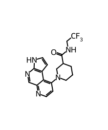 O=C(NCC(F)(F)F)C1CCCN(c2ccnc3cnc4[nH]ccc4c23)C1